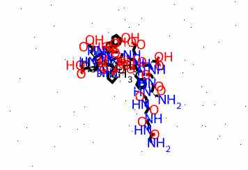 CC[C@H](C)[C@H](NC(=O)[C@H](CCC(=O)O)NC(=O)[C@H](CCC(=O)O)NC(=O)[C@H](Cc1ccccc1)NC(=O)[C@H](CC(=O)O)NC(=O)CNC(=O)[C@H](CC(N)=O)NC(=O)CNC(=O)CNC(=O)CNC(=O)CN)C(=O)N1CCC[C@H]1C(=O)N[C@@H](CCC(=O)O)C(=O)N[C@@H](CCC(=O)O)C(=O)N[C@@H](Cc1ccc(O)cc1)C(=O)N[C@@H](CC(C)C)C(=O)O